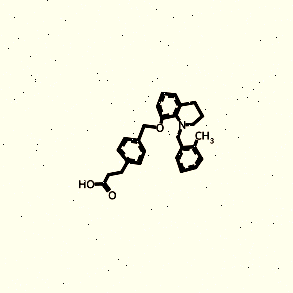 Cc1ccccc1CN1CCCc2cccc(OCc3ccc(CCC(=O)O)cc3)c21